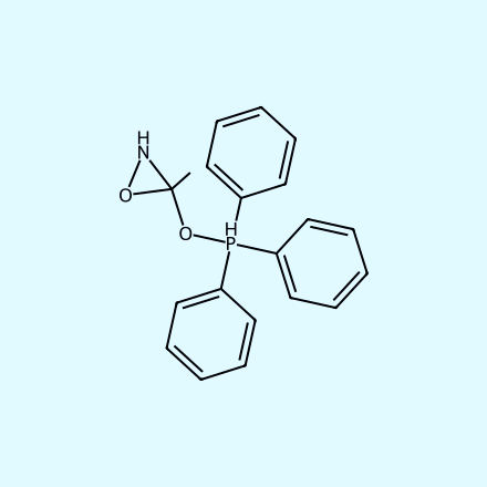 CC1(O[PH](c2ccccc2)(c2ccccc2)c2ccccc2)NO1